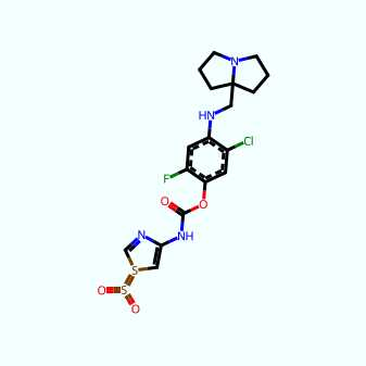 O=C(NC1=CS(=S(=O)=O)C=N1)Oc1cc(Cl)c(NCC23CCCN2CCC3)cc1F